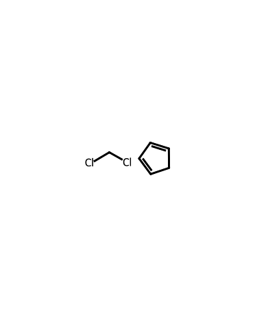 C1=CCC=C1.ClCCl